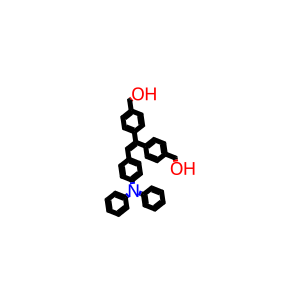 OCc1ccc(C(=Cc2ccc(N(c3ccccc3)c3ccccc3)cc2)c2ccc(CO)cc2)cc1